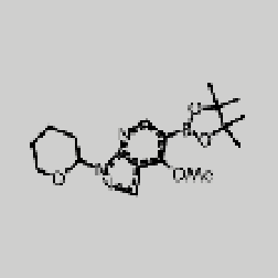 COc1c(B2OC(C)(C)C(C)(C)O2)cnc2c1cnn2C1CCCCO1